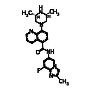 Cc1cn2cc(NC(=O)c3ccc(N4C[C@@H](C)N[C@@H](C)C4)c4ncccc34)cc(F)c2n1